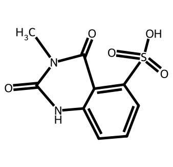 Cn1c(=O)[nH]c2cccc(S(=O)(=O)O)c2c1=O